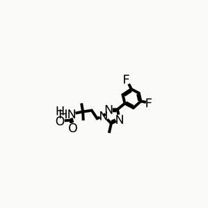 Cc1nc(-c2cc(F)cc(F)c2)nn1CCC(C)(C)NC(=O)O